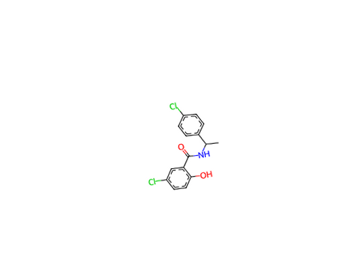 CC(NC(=O)c1cc(Cl)ccc1O)c1ccc(Cl)cc1